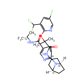 C[C@H](NC(=O)c1ccc(N2[C@@H]3CC[C@H]2C[C@@H](NC(=O)C(C)(C)Oc2ncc(F)cc2C(F)F)C3)nc1)C(F)(F)F